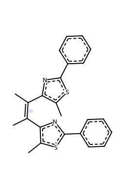 C/C(=C(\C)c1nc(-c2ccccc2)sc1C)c1nc(-c2ccccc2)sc1C